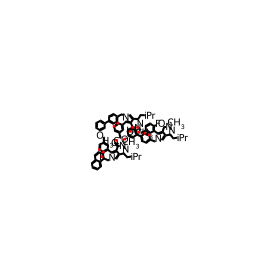 CC(C)Cc1nn(C)c(=O)c2c(-c3cccc(C(C)Oc4cccc(-c5ccc(Cn6cc7c(CC(C)C)nn(C)c(=O)c7c6-c6cc(CO)ccc6F)cc5)c4)c3)n(Cc3ccc(-c4cccc(OCc5ccc(F)c(-c6c7c(=O)n(C)nc(CC(C)C)c7cn6Cc6cccc7ccccc67)c5)c4)cc3)cc12